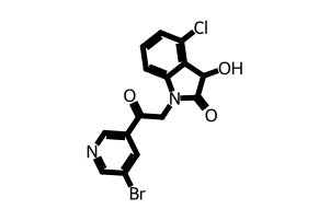 O=C(CN1C(=O)C(O)c2c(Cl)cccc21)c1cncc(Br)c1